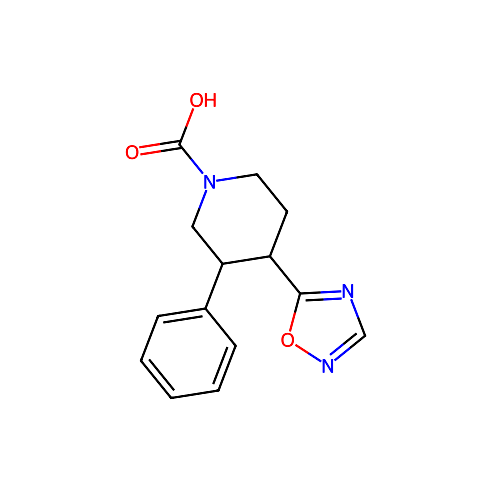 O=C(O)N1CCC(c2ncno2)C(c2ccccc2)C1